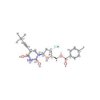 Cc1ccc(C(=O)OC[C@H]2O[C@@H](n3cc(C#C[Si](C)(C)C)c(=O)[nH]c3=O)C[C@@H]2F)cc1